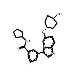 O=C(NC1CCCC1)c1cccc(-c2cnc3ccc(O[C@H]4CC[C@H](O)CC4)nn23)c1